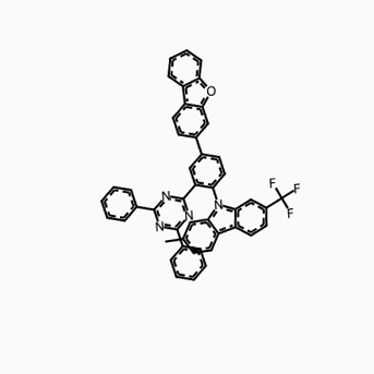 Cc1ccc2c3ccc(C(F)(F)F)cc3n(-c3ccc(-c4ccc5c(c4)oc4ccccc45)cc3-c3nc(-c4ccccc4)nc(-c4ccccc4)n3)c2c1